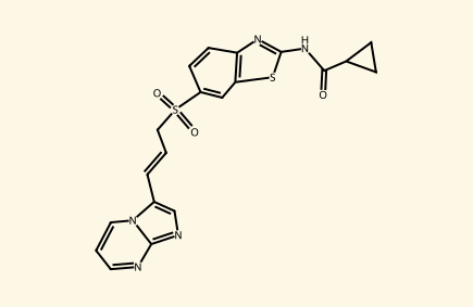 O=C(Nc1nc2ccc(S(=O)(=O)CC=Cc3cnc4ncccn34)cc2s1)C1CC1